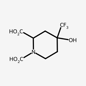 O=C(O)C1CC(O)(C(F)(F)F)CCN1C(=O)O